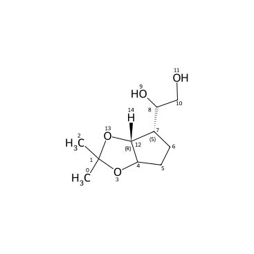 CC1(C)OC2CC[C@@H](C(O)CO)[C@H]2O1